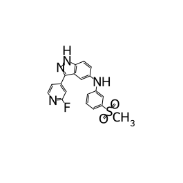 CS(=O)(=O)c1cccc(Nc2ccc3[nH]nc(-c4ccnc(F)c4)c3c2)c1